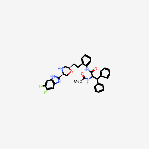 COC(=O)NC(C(=O)Nc1ccccc1CC[C@@H]1CN[C@H](c2nc3cc(F)c(F)cc3[nH]2)CO1)C(c1ccccc1)c1ccccc1